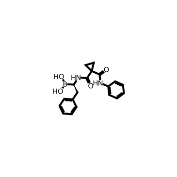 O=C(Nc1ccccc1)C1(C(=O)N[C@@H](Cc2ccccc2)B(O)O)CC1